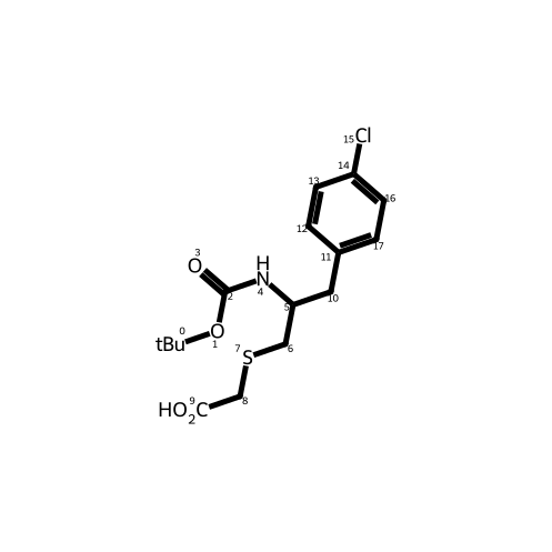 CC(C)(C)OC(=O)NC(CSCC(=O)O)Cc1ccc(Cl)cc1